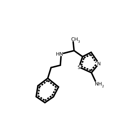 CC(NCCc1ccccc1)c1cnc(N)s1